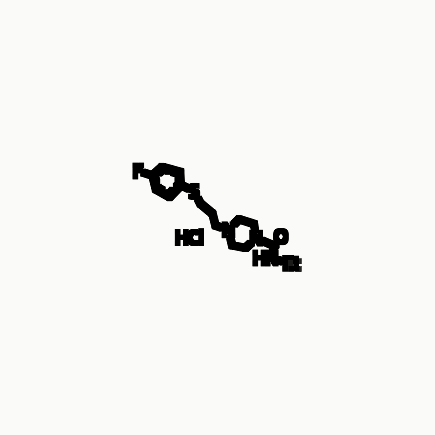 CCNC(=O)N1CCN(CCCSc2ccc(F)cc2)CC1.Cl